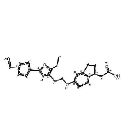 CCc1oc(-c2ccc(C=O)cc2)nc1CCOc1ccc2c(c1)CC[C@H]2CC(=O)O